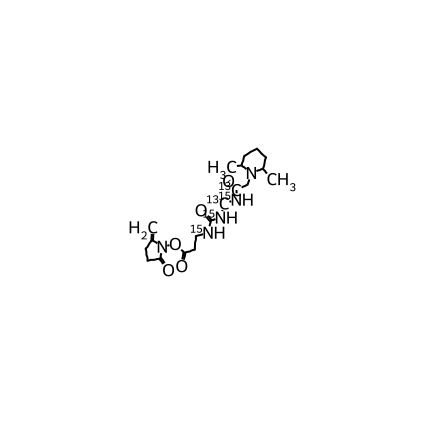 C=C1CCC(=O)N1OC(=O)CC[15NH]C(=O)[15NH][13CH2][15NH][13C](=O)CN1C(C)CCCC1C